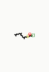 CC(C)=CCCC(C)=CCCC(C)=CCSCC(=O)CCl